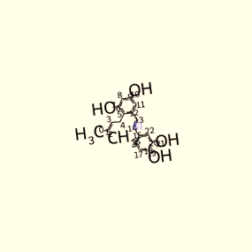 CC(C)=CCc1c(O)cc(O)cc1/C=C/c1ccc(O)c(O)c1